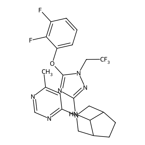 Cc1cc(N2CC3CCC(C2)C3Nc2nc(Oc3cccc(F)c3F)n(CC(F)(F)F)n2)ncn1